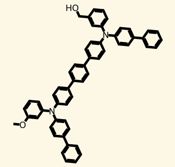 COc1cccc(N(c2ccc(-c3ccccc3)cc2)c2ccc(-c3ccc(-c4ccc(N(c5ccc(-c6ccccc6)cc5)c5cccc(CO)c5)cc4)cc3)cc2)c1